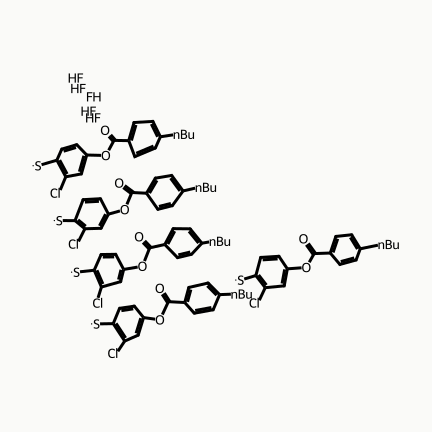 CCCCc1ccc(C(=O)Oc2ccc([S])c(Cl)c2)cc1.CCCCc1ccc(C(=O)Oc2ccc([S])c(Cl)c2)cc1.CCCCc1ccc(C(=O)Oc2ccc([S])c(Cl)c2)cc1.CCCCc1ccc(C(=O)Oc2ccc([S])c(Cl)c2)cc1.CCCCc1ccc(C(=O)Oc2ccc([S])c(Cl)c2)cc1.F.F.F.F.F